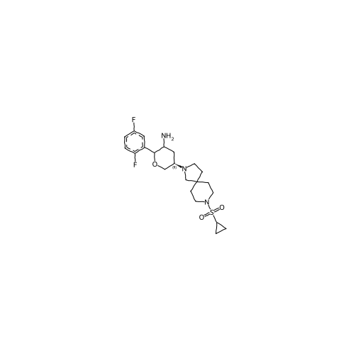 NC1C[C@@H](N2CCC3(CCN(S(=O)(=O)C4CC4)CC3)C2)COC1c1cc(F)ccc1F